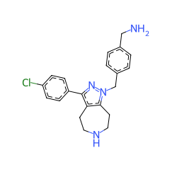 NCc1ccc(Cn2nc(-c3ccc(Cl)cc3)c3c2CCNCC3)cc1